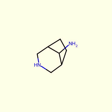 NC1C2CCC1CNC2